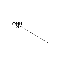 CCCCCCCCCCCCCCCCCCCCCCCCCC(=O)Nc1ccccc1